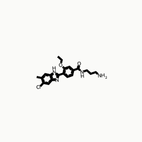 CCOc1cc(C(=O)NCCCN)ccc1-c1nc2cc(Cl)c(C)cc2[nH]1